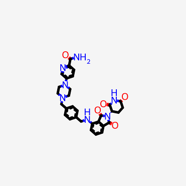 NC(=O)c1ccc(N2CCN(Cc3ccc(CNc4cccc5c4C(=O)N([C@H]4CCC(=O)NC4=O)C5=O)cc3)CC2)cn1